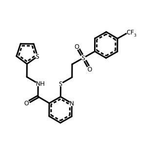 O=C(NCc1cccs1)c1cccnc1SCCS(=O)(=O)c1ccc(C(F)(F)F)cc1